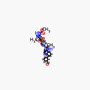 COC(=O)Nc1nc(C)c(S(=O)(=O)N2CCN(CC(C)Nc3ncnc4c(-c5cccc(C=O)c5)cccc34)CC2)s1